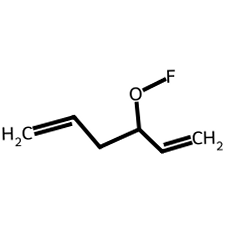 C=CCC(C=C)OF